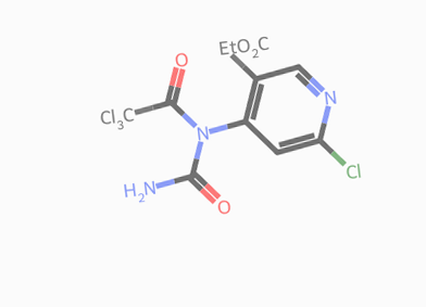 CCOC(=O)c1cnc(Cl)cc1N(C(N)=O)C(=O)C(Cl)(Cl)Cl